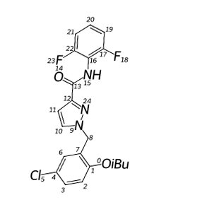 CC(C)COc1ccc(Cl)cc1Cn1ccc(C(=O)Nc2c(F)cccc2F)n1